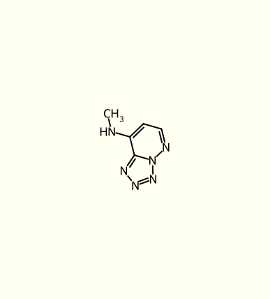 CNc1ccnn2nnnc12